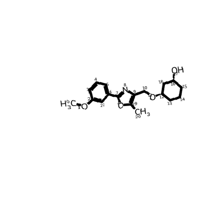 COc1cccc(-c2nc(CO[C@@H]3CCC[C@H](O)C3)c(C)o2)c1